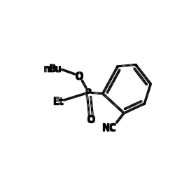 CCCCOP(=O)(CC)c1ccccc1C#N